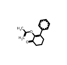 C=C(C)OC1=C(c2ccccc2)CCCC1=O